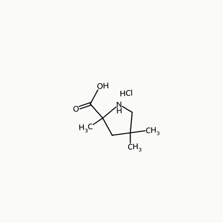 CC1(C)CNC(C)(C(=O)O)C1.Cl